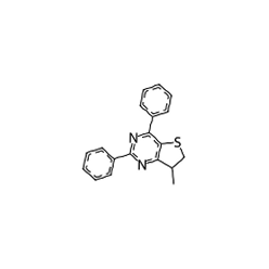 CC1CSc2c(-c3ccccc3)nc(-c3ccccc3)nc21